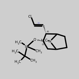 CN1C2CCC1[C@@H](/C=C/Cl)[C@@H](O[Si](C)(C)C(C)(C)C)C2